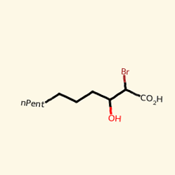 CCCCCCCCC(O)C(Br)C(=O)O